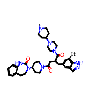 CCc1cc(CC(CC(=O)N2CCC(N3CCc4ccccc4NC3=O)CC2)C(=O)N2CCN(C3CCN(C)CC3)CC2)cc2cn[nH]c12